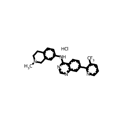 CN1CCc2ccc(Nc3ncnc4cc(-c5ncccc5C(F)(F)F)ccc34)cc2C1.Cl